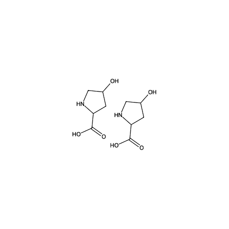 O=C(O)C1CC(O)CN1.O=C(O)C1CC(O)CN1